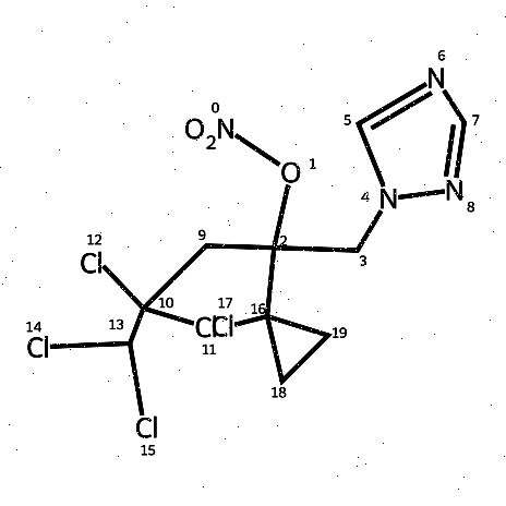 O=[N+]([O-])OC(Cn1cncn1)(CC(Cl)(Cl)C(Cl)Cl)C1(Cl)CC1